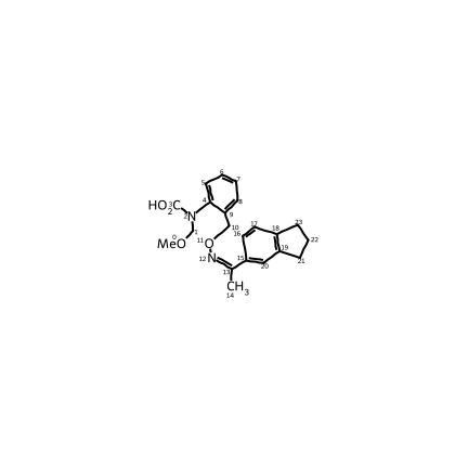 COCN(C(=O)O)c1ccccc1CO/N=C(/C)c1ccc2c(c1)CCC2